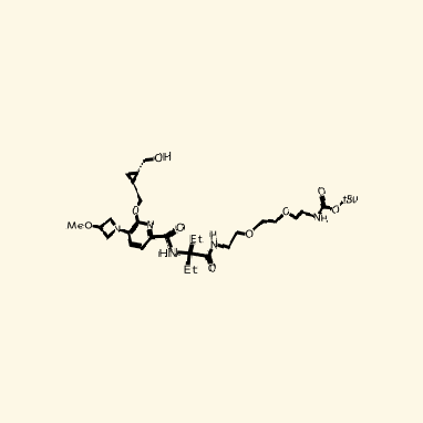 CCC(CC)(NC(=O)c1ccc(N2CC(OC)C2)c(OC[C@H]2C[C@@H]2CO)n1)C(=O)NCCOCCOCCNC(=O)OC(C)(C)C